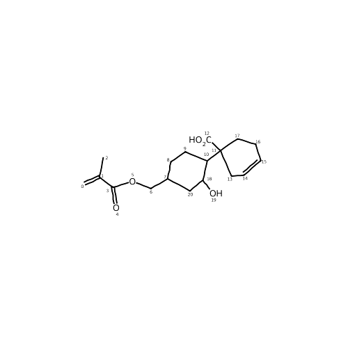 C=C(C)C(=O)OCC1CCC(C2(C(=O)O)CC=CCC2)C(O)C1